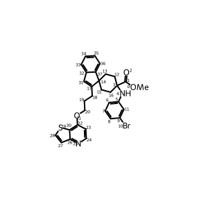 COC(=O)C1(Nc2cccc(Br)c2)CCC2(CC1)C(CCCOc1ccnc3ccsc13)=Cc1ccccc12